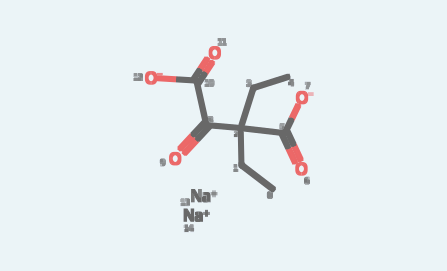 CCC(CC)(C(=O)[O-])C(=O)C(=O)[O-].[Na+].[Na+]